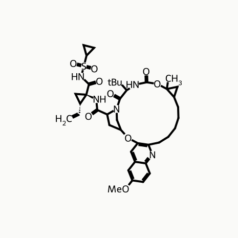 C=C[C@@H]1C[C@]1(NC(=O)C1CC2CN1C(=O)C(C(C)(C)C)NC(=O)OC1(C)CC1CCCCCc1nc3ccc(OC)cc3cc1O2)C(=O)NS(=O)(=O)C1CC1